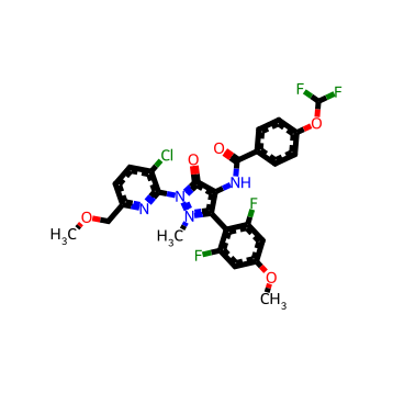 COCc1ccc(Cl)c(-n2c(=O)c(NC(=O)c3ccc(OC(F)F)cc3)c(-c3c(F)cc(OC)cc3F)n2C)n1